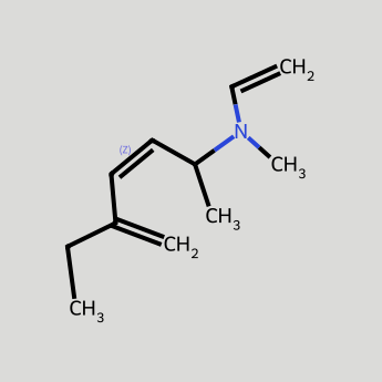 C=CN(C)C(C)/C=C\C(=C)CC